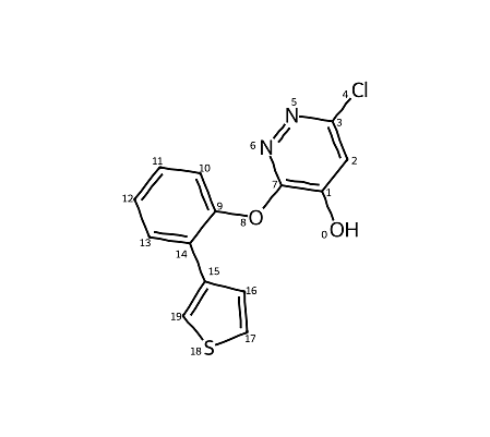 Oc1cc(Cl)nnc1Oc1ccccc1-c1ccsc1